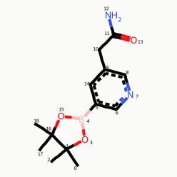 CC1(C)OB(c2cncc(CC(N)=O)c2)OC1(C)C